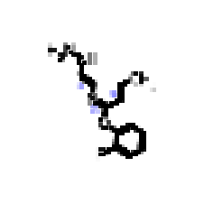 C/C=C/C(=N\C=C\NN)Oc1ccccc1F